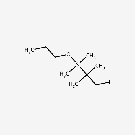 CCCO[Si](C)(C)C(C)(C)CI